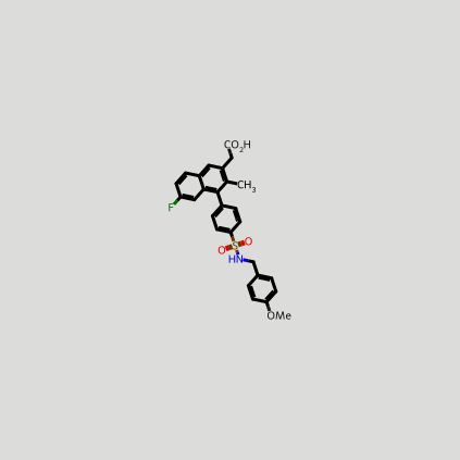 COc1ccc(CNS(=O)(=O)c2ccc(-c3c(C)c(CC(=O)O)cc4ccc(F)cc34)cc2)cc1